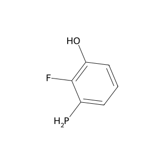 Oc1cccc(P)c1F